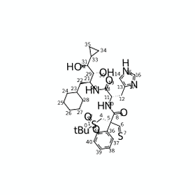 CC(C)(C)S(=O)(=O)C[C@@](C=S)(C(=O)N[C@@H](Cc1c[nH]cn1)C(=O)N[C@@H](CC1CCCCC1)[C@@H](O)[C@@H](O)C1CC1)c1ccccc1